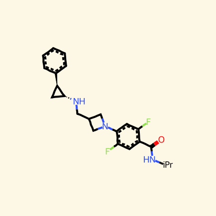 CC(C)NC(=O)c1cc(F)c(N2CC(CN[C@@H]3C[C@H]3c3ccccc3)C2)cc1F